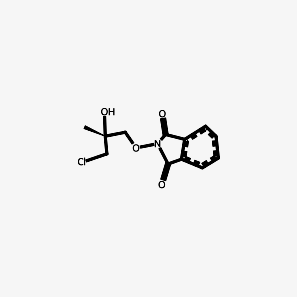 C[C@](O)(CCl)CON1C(=O)c2ccccc2C1=O